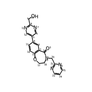 O=C1c2cc(-c3cnc(CO)nc3)ccc2OCCN1Cc1ncccn1